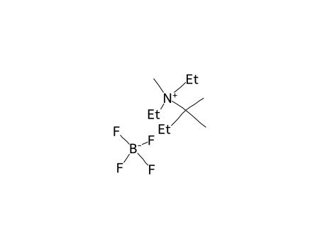 CCC(C)(C)[N+](C)(CC)CC.F[B-](F)(F)F